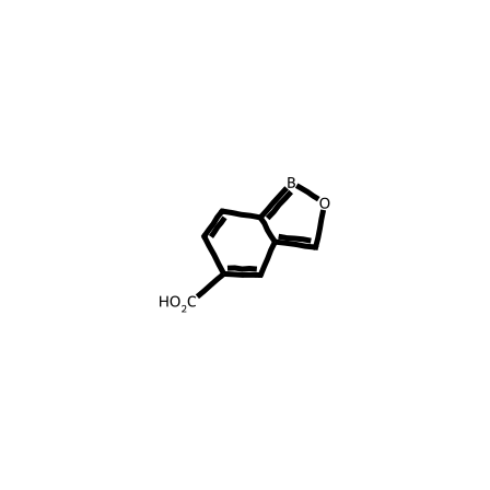 O=C(O)c1ccc2bocc2c1